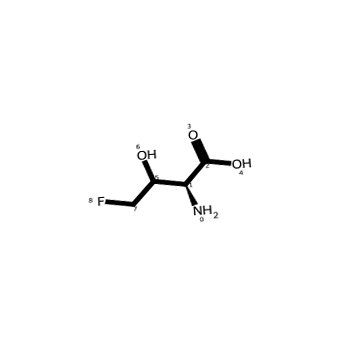 N[C@H](C(=O)O)C(O)CF